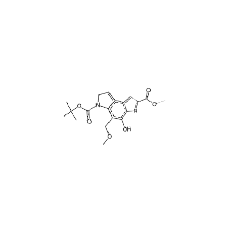 COCc1c(O)c2c(c3c1N(C(=O)OC(C)(C)C)CC=3)=CC(C(=O)OC)=N2